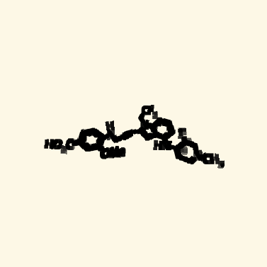 COc1cc(C(=O)O)ccc1NCC#Cc1cc2c(N[C@@H]3CCN(C)C[C@@H]3F)cccc2n1CC(F)(F)F